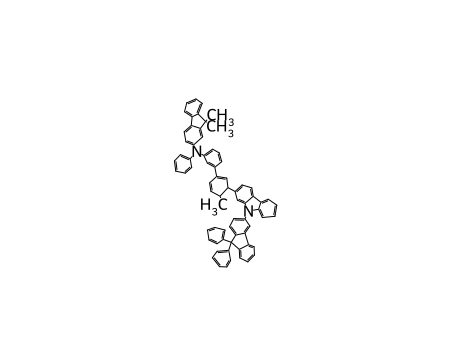 CC1C=CC(c2cccc(N(c3ccccc3)c3ccc4c(c3)C(C)(C)c3ccccc3-4)c2)=CC1c1ccc2c3ccccc3n(-c3ccc4c(c3)-c3ccccc3C4(c3ccccc3)c3ccccc3)c2c1